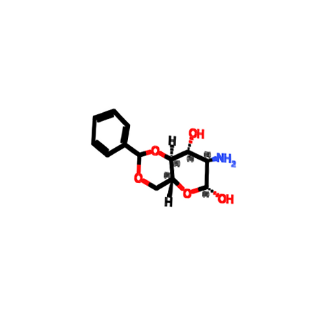 N[C@@H]1[C@@H](O)[C@@H]2OC(c3ccccc3)OC[C@H]2O[C@H]1O